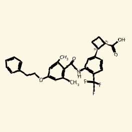 Cc1cc(OCCc2ccccc2)cc(C)c1C(=O)Nc1cc([C@H]2CC[C@H]2C(=O)O)ccc1C(F)(F)F